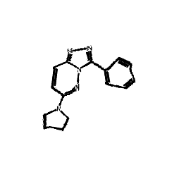 c1ccc(-c2nnc3ccc(N4CCCC4)nn23)cc1